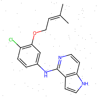 CC(C)=CCOc1cc(Nc2nccc3[nH]ccc23)ccc1Cl